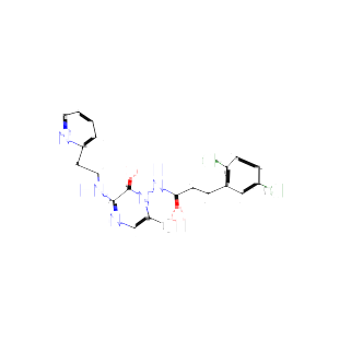 Cc1cnc(NCCc2ccccn2)c(=O)n1NC(=O)CCc1cc(Cl)ccc1Cl